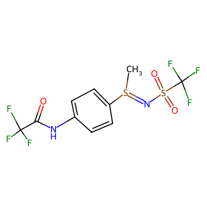 C/S(=N\S(=O)(=O)C(F)(F)F)c1ccc(NC(=O)C(F)(F)F)cc1